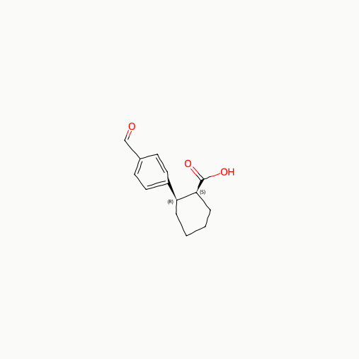 O=Cc1ccc([C@@H]2CCCC[C@@H]2C(=O)O)cc1